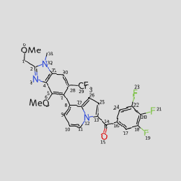 COCc1nc2c(OC)c(-c3cccn4c(C(=O)c5cc(F)c(F)c(F)c5)ccc34)c(C(F)(F)F)cc2n1C